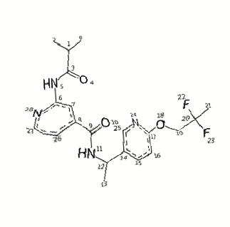 CC(C)C(=O)Nc1cc(C(=O)NC(C)c2ccc(OCC(C)(F)F)nc2)ccn1